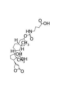 C[C@]12CC[C@H](OC(=O)NCCCC(=O)O)C[C@H]1CC[C@@H]1[C@@H]2C[C@@H](O)[C@]2(C)[C@@H](C3=CC(=O)OC3)CC[C@]12O